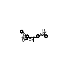 NC(CNc1ccc(CCNC[C@H](O)c2ccc(OCc3ccccc3)c3[nH]c(=O)ccc23)cc1)c1ccccc1